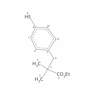 CCOC(=O)C(C)(C)Cc1ccc(S)cc1